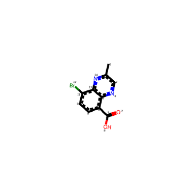 Cc1cnc2c(C(=O)O)ccc(Br)c2n1